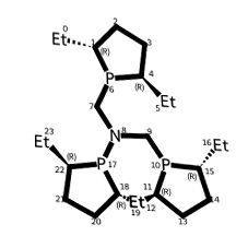 CC[C@@H]1CC[C@@H](CC)P1CN(CP1[C@H](CC)CC[C@H]1CC)P1[C@H](CC)CC[C@H]1CC